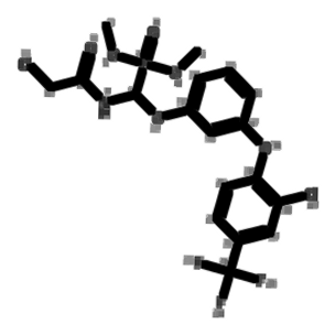 COP(=O)(OC)C(NC(=O)CCl)Oc1cccc(Oc2ccc(C(F)(F)F)cc2Cl)c1